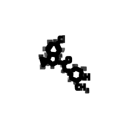 C[C@@H]1CN(CC(=O)N2CC3(CC3)c3ccc(Cl)cc32)CCN1